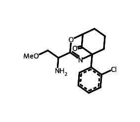 COCC(N)C1=NC2(c3ccccc3Cl)CCCC(O1)C2=O